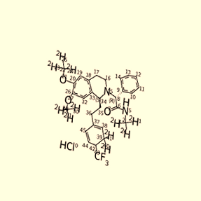 Cl.[2H]C([2H])([2H])NC(=O)[C@@H](c1ccccc1)N1CCc2cc(OC([2H])([2H])[2H])c(OC([2H])([2H])[2H])cc2[C@@H]1CCC1=CC([2H])([2H])C(C(F)(F)F)C=C1